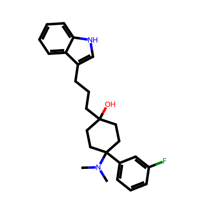 CN(C)C1(c2cccc(F)c2)CCC(O)(CCCc2c[nH]c3ccccc23)CC1